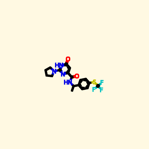 CC(NC(=O)c1cc(=O)[nH]c(N2CCCC2)n1)c1ccc(SC(F)(F)F)cc1